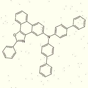 c1ccc(-c2ccc(N(c3ccc(-c4ccccc4)cc3)c3ccc4c5ccccc5c5oc(-c6ccccc6)nc5c4c3)cc2)cc1